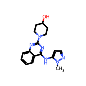 Cn1nccc1Nc1nc(N2CCC(O)CC2)nc2ccccc12